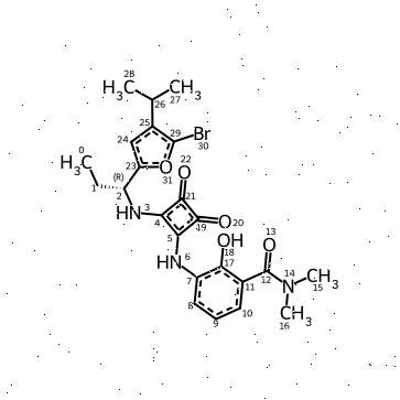 CC[C@@H](Nc1c(Nc2cccc(C(=O)N(C)C)c2O)c(=O)c1=O)c1cc(C(C)C)c(Br)o1